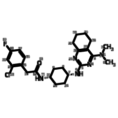 CN(C)c1nc(N[C@H]2CC[C@@H](NC(=O)Cc3ccc(F)cc3Cl)CC2)nc2c1CCCC2